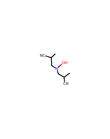 CC(C#N)CN(O)CC(C)C#N